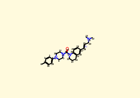 Cc1ccc(N2CCN(C(=O)N3CCCc4cc(/C=C/CN(C)C)ccc43)CC2)cc1